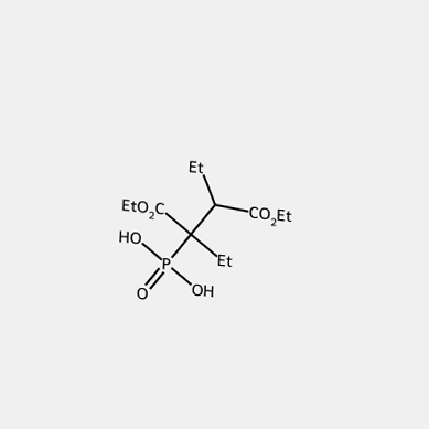 CCOC(=O)C(CC)C(CC)(C(=O)OCC)P(=O)(O)O